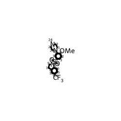 COc1ccc(S(=O)(=O)N2CCc3cc(C(F)(F)F)ccc32)cc1N1CCN(C)CC1